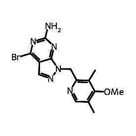 COc1c(C)cnc(Cn2ncc3c(Br)nc(N)nc32)c1C